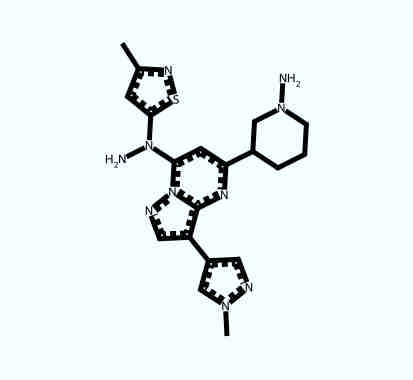 Cc1cc(N(N)c2cc(C3CCCN(N)C3)nc3c(-c4cnn(C)c4)cnn23)sn1